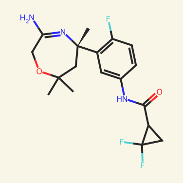 CC1(C)C[C@@](C)(c2cc(NC(=O)C3CC3(F)F)ccc2F)N=C(N)CO1